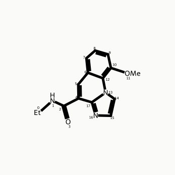 CCNC(=O)c1cc2cccc(OC)c2n2ccnc12